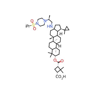 CC(C)S(=O)(=O)N1CCN([C@@H](C)CN[C@]23CC[C@@H](C4(C)CC4)C2[C@H]2CC[C@@H]4[C@@]5(C)CC[C@H](OC(=O)[C@H]6C[C@@H](C(=O)O)C6(C)C)C(C)(C)C5CC[C@@]4(C)[C@]2(C)CC3)CC1